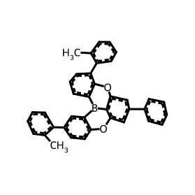 Cc1ccccc1-c1ccc2c(c1)B1c3cccc(-c4ccccc4C)c3Oc3cc(-c4ccccc4)cc(c31)O2